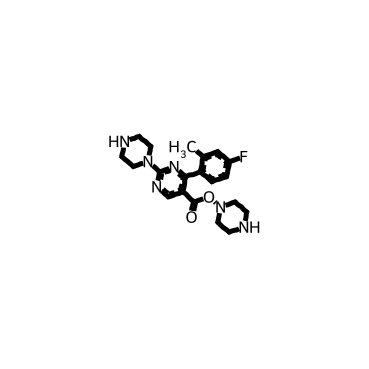 Cc1cc(F)ccc1-c1nc(N2CCNCC2)ncc1C(=O)ON1CCNCC1